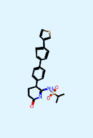 CC(C)S(=O)(=O)NC1=NC(=O)CCC1c1ccc(-c2ccc(-c3ccsc3)cc2)cc1